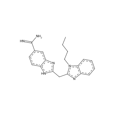 CCCCn1c(Cc2nc3cc(C(=N)N)ccc3[nH]2)nc2ccccc21